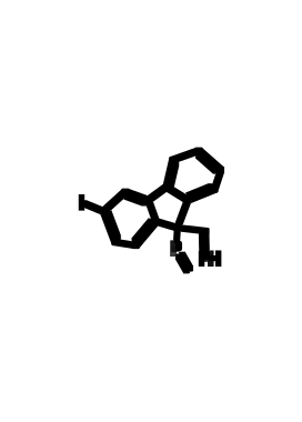 C=PC1(C=P)c2ccccc2-c2cc(I)ccc21